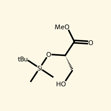 COC(=O)[C@H](CO)O[Si](C)(C)C(C)(C)C